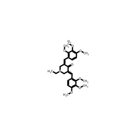 CCN1CC(=Cc2ccc(OC)c(OC)c2OC)C(=O)/C(=C/c2ccc(OC)c(OC)c2OC)C1